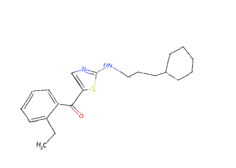 CCc1ccccc1C(=O)c1cnc(N[CH]CCC2CCCCC2)s1